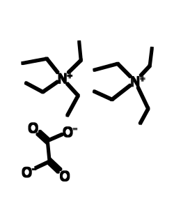 CC[N+](CC)(CC)CC.CC[N+](CC)(CC)CC.O=C([O-])C(=O)[O-]